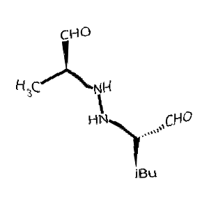 CC[C@H](C)[C@@H](C=O)NN[C@@H](C)C=O